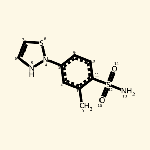 Cc1cc(N2NC=CS2)ccc1S(N)(=O)=O